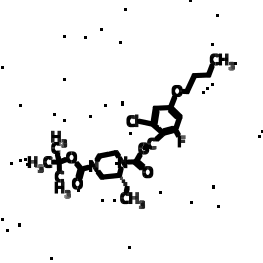 CCCCOc1cc(F)c(COC(=O)N2CCN(C(=O)OC(C)(C)C)C[C@H]2CC)c(Cl)c1